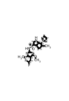 COc1nc(NS(=O)(=O)c2c[nH]c3c(-n4nccn4)c(C)ccc23)nc(OC)c1CC(F)F